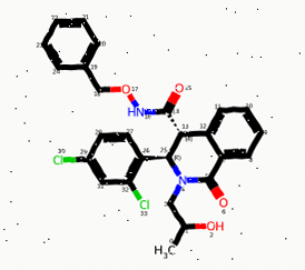 CC(O)CN1C(=O)c2ccccc2[C@@H](C(=O)NOCc2ccccc2)[C@@H]1c1ccc(Cl)cc1Cl